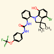 CCC1(CC)CN(c2ccccc2NC(=O)Nc2ccc(OC(F)(F)F)cc2)c2c(O)ccc(Br)c21